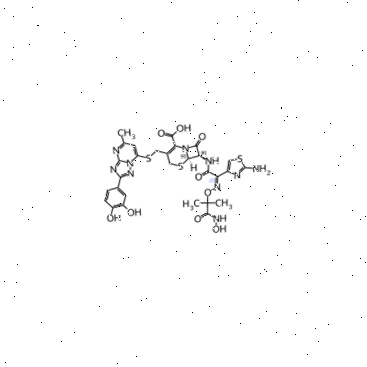 Cc1cc(SCC2=C(C(=O)O)N3C(=O)[C@@H](NC(=O)/C(=N\OC(C)(C)C(=O)NO)c4csc(N)n4)[C@H]3SC2)n2nc(-c3ccc(O)c(O)c3)nc2n1